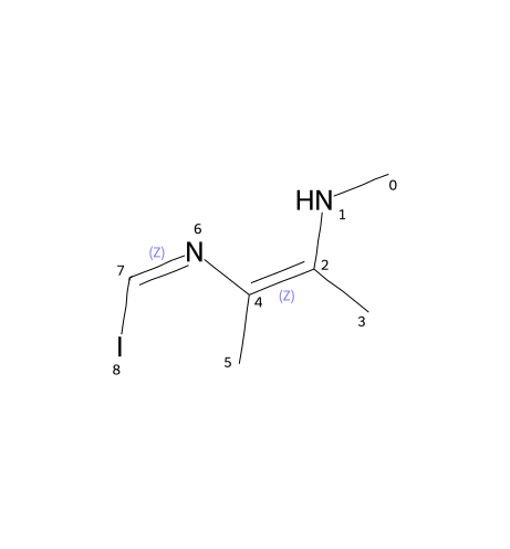 CN/C(C)=C(C)\N=C/I